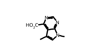 Cc1cn(C)c2ncnc(C(=O)O)c12